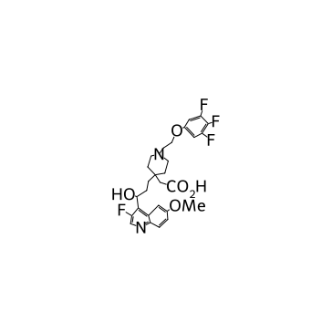 COc1ccc2ncc(F)c(C(O)CCC3(CC(=O)O)CCN(CCOc4cc(F)c(F)c(F)c4)CC3)c2c1